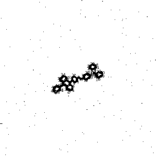 C1=Cc2c(c(C3=CC=C(/C=C/c4ccc(N(c5ccccc5)c5ccccc5)cc4)CC3)c3ccccc3c2-c2ccccc2)CC1